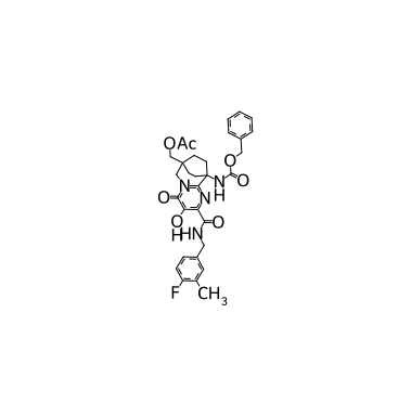 CC(=O)OCC12CCC(NC(=O)OCc3ccccc3)(CC1)c1nc(C(=O)NCc3ccc(F)c(C)c3)c(O)c(=O)n1C2